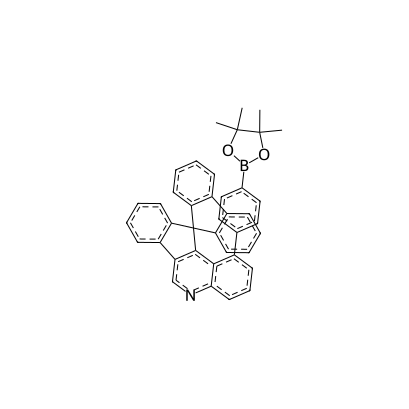 CC1(C)OB(c2ccc(-c3cccc4ncc5c(c34)C3(c4ccccc4-c4ccccc43)c3ccccc3-5)cc2)OC1(C)C